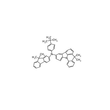 CC(C)(C)c1ccc(N(c2ccc3c(c2)C(C)(C)c2ccccc2-3)c2ccc3c(c2)c2cccc4c2n3-c2ccccc2C4(C)C)cc1